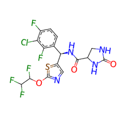 O=C1NCC(C(=O)N[C@@H](c2cnc(OC(F)C(F)F)s2)c2ccc(F)c(Cl)c2F)N1